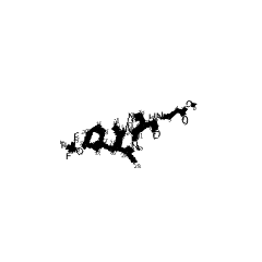 COC(=O)CCNC(=O)c1cnn2c(C)c(Cc3cccc(OC(F)(F)F)c3)c(C)nc12